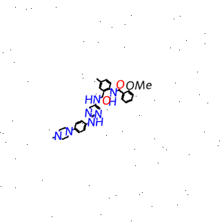 COc1ccccc1C(=O)Nc1ccc(C)cc1C(=O)Nc1cnc(Nc2ccc(N3CCN(C)CC3)cc2)nc1